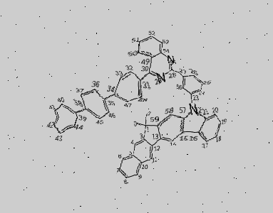 CC1(C)c2cc3ccccc3cc2-c2cc3c4ccccc4n(-c4cccc(-c5nc(-c6ccc(-c7ccc(-c8ccccc8)cc7)cc6)c6ccccc6n5)c4)c3cc21